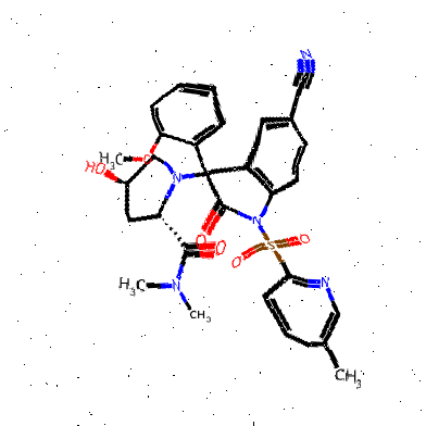 COc1ccccc1C1(N2C[C@H](O)C[C@H]2C(=O)N(C)C)C(=O)N(S(=O)(=O)c2ccc(C)cn2)c2ccc(C#N)cc21